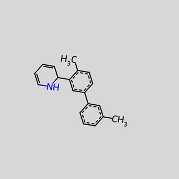 Cc1cccc(-c2ccc(C)c(C3C=CC=CN3)c2)c1